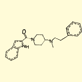 CN(CCc1ccccc1)C1CCN(C(=O)c2cc3ccccc3[nH]2)CC1